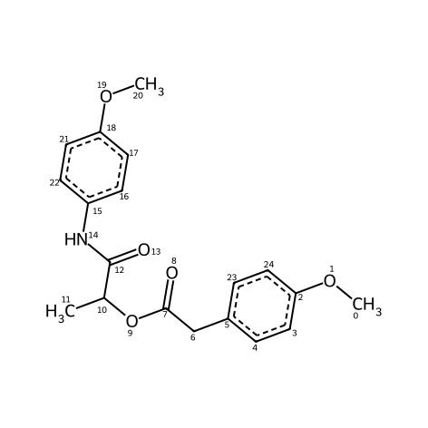 COc1ccc(CC(=O)OC(C)C(=O)Nc2ccc(OC)cc2)cc1